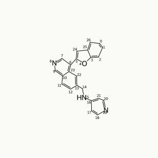 c1ccc2oc(-c3cncc4ccc(CNc5ccncc5)cc34)cc2c1